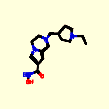 CCN1CCC(CN2CCn3cc(C(=O)NO)cc3C2)CC1